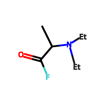 CCN(CC)C(C)C(=O)F